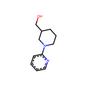 OCC1CCCN(c2c[c]ccn2)C1